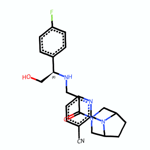 N#Cc1cccnc1N1C2CCC1CN(C(=O)CCN[C@@H](CO)c1ccc(F)cc1)C2